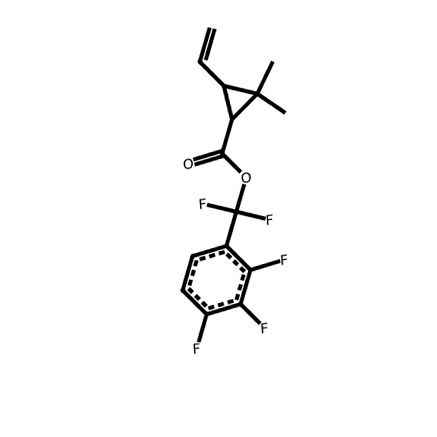 C=CC1C(C(=O)OC(F)(F)c2ccc(F)c(F)c2F)C1(C)C